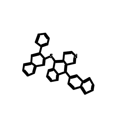 c1ccc(-c2cc3ccccc3cc2Sc2c3ccccc3c(-c3ccc4ccccc4c3)c3cnccc23)cc1